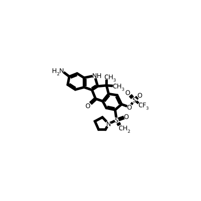 C=S(=O)(c1cc2c(cc1OS(=O)(=O)C(F)(F)F)C(C)(C)c1[nH]c3cc(N)ccc3c1C2=O)N1CCCC1